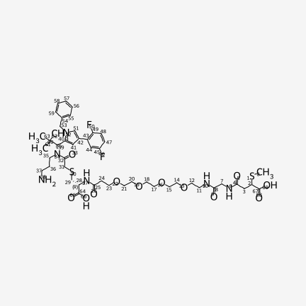 CSC(CC(=O)NCC(=O)NCCOCCOCCOCCOCCC(=O)N[C@@H](CSCC(=O)N(CCCN)[C@@H](c1cc(-c2cc(F)ccc2F)cn1Cc1ccccc1)C(C)(C)C)C(=O)O)C(=O)O